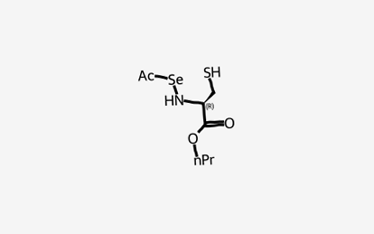 CCCOC(=O)[C@H](CS)N[Se]C(C)=O